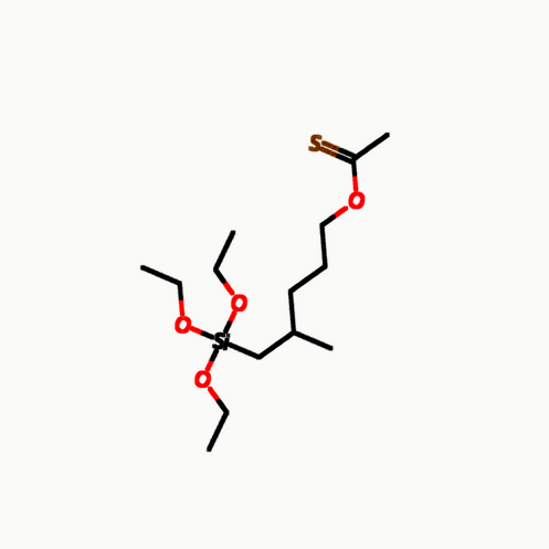 CCO[Si](CC(C)CCCOC(C)=S)(OCC)OCC